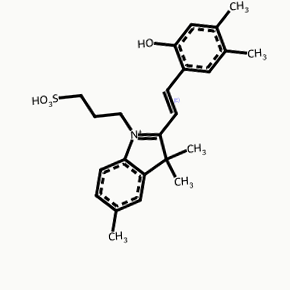 Cc1ccc2c(c1)C(C)(C)C(/C=C/c1cc(C)c(C)cc1O)=[N+]2CCCS(=O)(=O)O